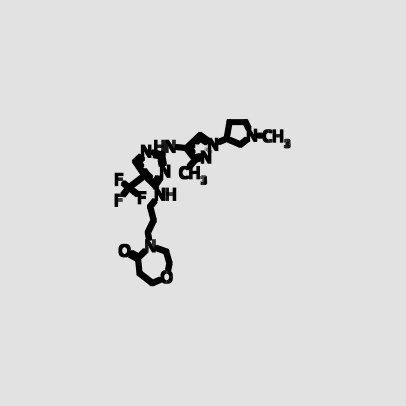 Cc1nn(C2CCN(C)C2)cc1Nc1ncc(C(F)(F)F)c(NCCCN2CCOCCC2=O)n1